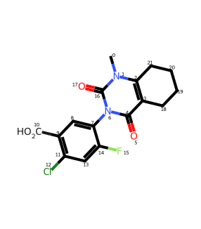 Cn1c2c(c(=O)n(-c3cc(C(=O)O)c(Cl)cc3F)c1=O)CCCC2